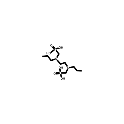 CCCN(CCN(CCC)CP(=O)(O)O)CP(=O)(O)O